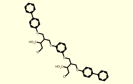 O=C(O)C(CCl)C(COc1ccc(-c2ccccc2)cc1)COc1cccc(OCC(COc2ccc(-c3ccccc3)cc2)C(CCl)C(=O)O)c1